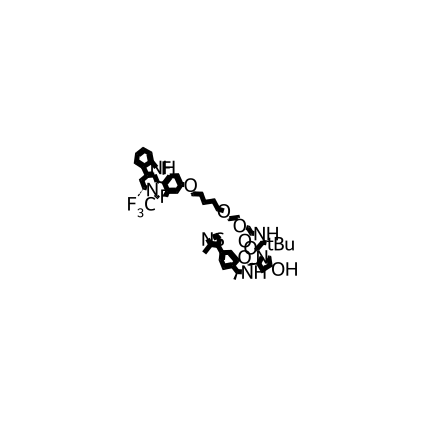 Cc1ncsc1-c1ccc([C@H](C)NC(=O)[C@@H]2C[C@@H](O)CN2C(=O)C(NC(=O)COCCOCCCCCOc2cc(F)c([C@@H]3c4[nH]c5ccccc5c4C[C@@H](C)N3CC(F)(F)F)c(F)c2)C(C)(C)C)cc1